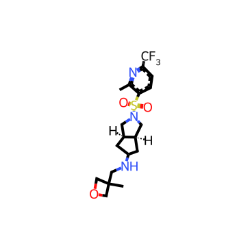 Cc1nc(C(F)(F)F)ccc1S(=O)(=O)N1C[C@H]2CC(NCC3(C)COC3)C[C@H]2C1